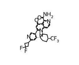 NC(=O)c1nccc2[nH]c(-c3cnc(C4CC(F)(F)C4)cc3[C@H]3CC[C@H](C(F)(F)F)CC3)cc(=O)c12